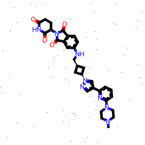 CN1CCN(c2cccc(-c3cnn([C@H]4C[C@H](CNc5ccc6c(c5)C(=O)N(C5CCC(=O)NC5=O)C6=O)C4)c3)n2)CC1